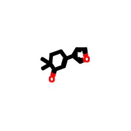 CC1(C)CCC(c2ccoc2)=CC1=O